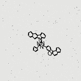 c1ccc(-c2nc(-c3ccc4c(c3)oc3ccc5ccccc5c34)nc(-n3c4ccccc4c4cc5ccccc5cc43)n2)cc1